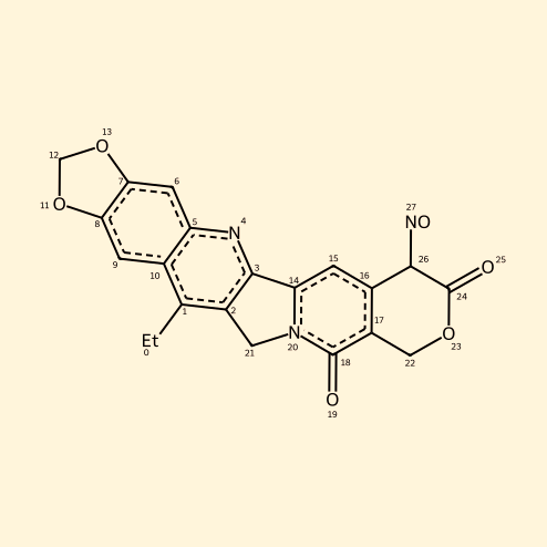 CCc1c2c(nc3cc4c(cc13)OCO4)-c1cc3c(c(=O)n1C2)COC(=O)C3N=O